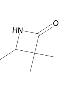 CC1NC(=O)C1(C)C